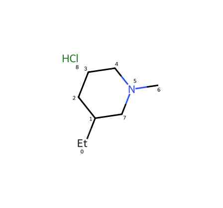 CCC1CCCN(C)C1.Cl